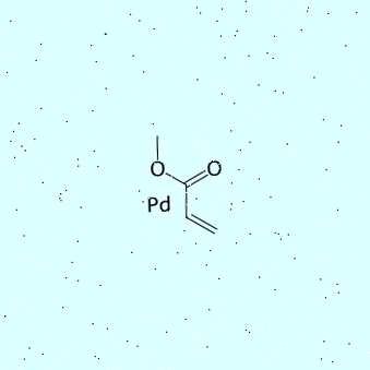 C=CC(=O)OC.[Pd]